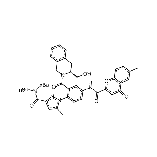 CCCCN(CCCC)C(=O)c1cc(C)n(-c2ccc(NC(=O)c3cc(=O)c4cc(C)ccc4o3)cc2C(=O)N2Cc3ccccc3C[C@H]2CO)n1